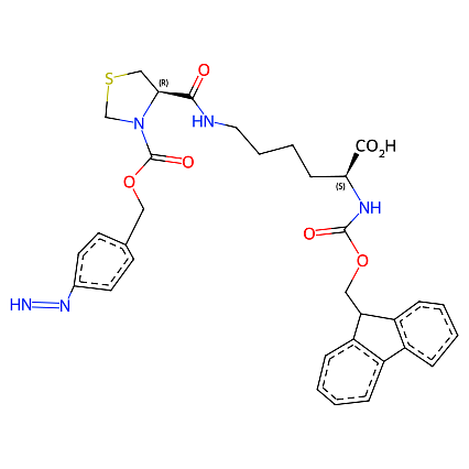 N=Nc1ccc(COC(=O)N2CSC[C@H]2C(=O)NCCCC[C@H](NC(=O)OCC2c3ccccc3-c3ccccc32)C(=O)O)cc1